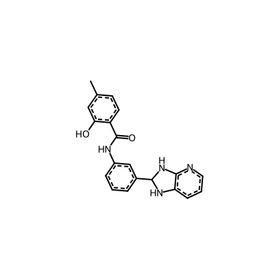 Cc1ccc(C(=O)Nc2cccc(C3Nc4cccnc4N3)c2)c(O)c1